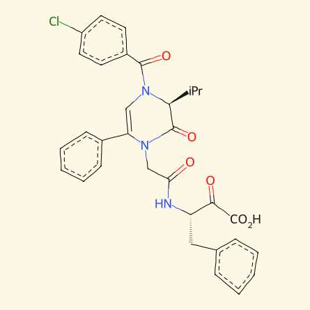 CC(C)[C@H]1C(=O)N(CC(=O)N[C@@H](Cc2ccccc2)C(=O)C(=O)O)C(c2ccccc2)=CN1C(=O)c1ccc(Cl)cc1